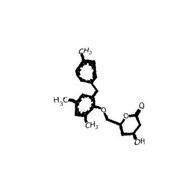 Cc1ccc(Cc2cc(C)cc(C)c2OCC2CC(O)CC(=O)O2)cc1